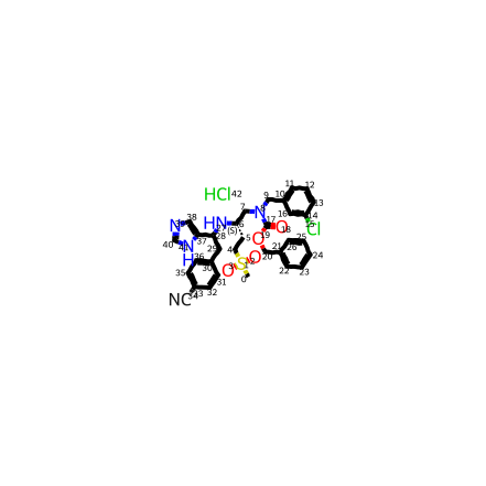 CS(=O)(=O)CC[C@@H](CN(Cc1cccc(Cl)c1)C(=O)OCc1ccccc1)NC(Cc1ccc(C#N)cc1)c1cnc[nH]1.Cl